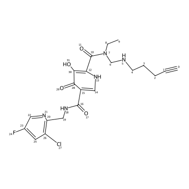 C#CCCCNCN(CC)C(=O)c1[nH]cc(C(=O)NCc2ncc(F)cc2Cl)c(=O)c1O